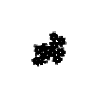 CC1(C)c2ccccc2C2C1c1cccc(-c3ccccc3-n3c4ccc(-c5ccccc5-c5ccccc5)cc4c4cc(-c5ccccc5-c5ccccc5)ccc43)c1N2c1ccccc1